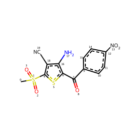 CS(=O)(=O)c1sc(C(=O)c2ccc([N+](=O)[O-])cc2)c(N)c1C#N